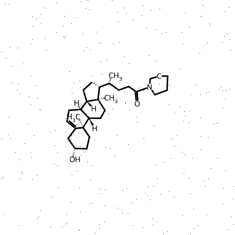 C[C@H](CCC(=O)N1CCCCC1)[C@H]1CC[C@H]2[C@@H]3CC=C4C[C@@H](O)CC[C@]4(C)[C@H]3CC[C@]12C